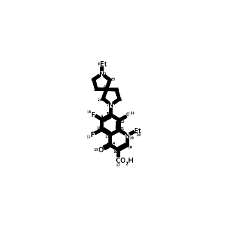 CCN1CCC2(CCN(c3c(F)c(F)c4c(=O)c(C(=O)O)cn(CC)c4c3F)C2)C1